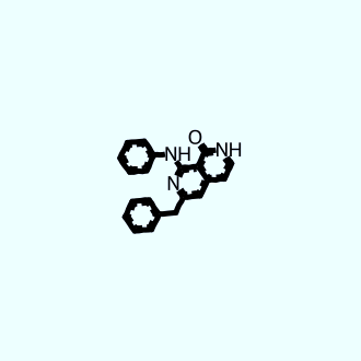 O=c1[nH]ccc2cc(Cc3ccccc3)nc(Nc3ccccc3)c12